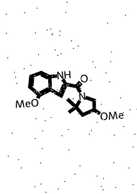 COc1cccc2[nH]c(C(=O)N3CC(OC)CC3(C)C)cc12